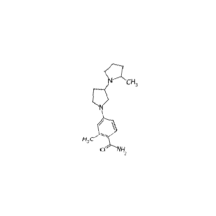 Cc1cc(N2CCC(N3CCCC3C)C2)ccc1C(N)=O